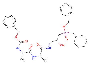 CC(C)[C@@H](NC(=O)[C@H](C)NC(=O)OCc1ccccc1)C(=O)NC[C@@H](O)CP(=O)(CC1CCCCC1)OCc1ccccc1